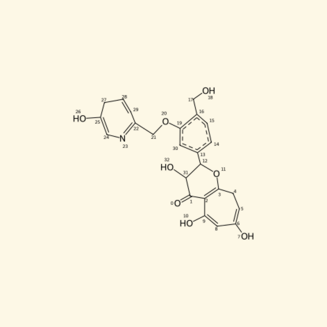 O=C1C2=C(CC=C(O)C=C2O)OC(c2ccc(CO)c(OCC3=NC=C(O)CC=C3)c2)C1O